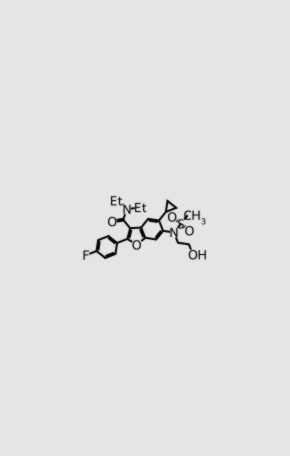 CCN(CC)C(=O)c1c(-c2ccc(F)cc2)oc2cc(N(CCO)S(C)(=O)=O)c(C3CC3)cc12